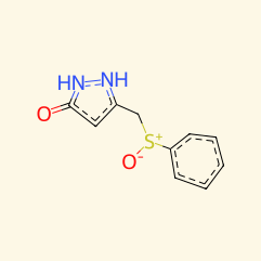 O=c1cc(C[S+]([O-])c2ccccc2)[nH][nH]1